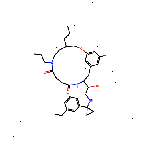 CCCC1CCN(CCC)C(=O)CCC(=O)NC(C(O)CNC2(c3cccc(CC)c3)CC2)Cc2cc(F)cc(c2)OC1